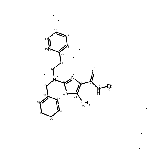 CCNC(=O)c1nc(N(CCc2ccccn2)CC2=CCCC=C2)sc1C